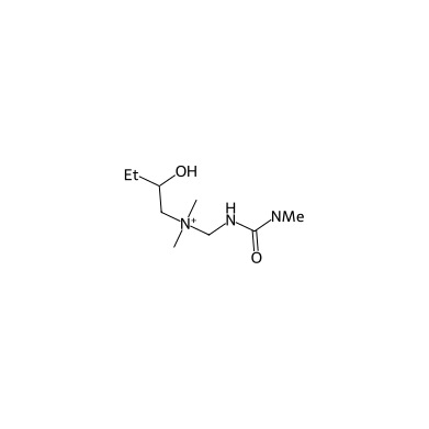 CCC(O)C[N+](C)(C)CNC(=O)NC